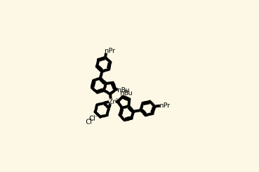 CCCCC1=Cc2c(-c3ccc(CCC)cc3)cccc2[CH]1[Zr+2]1([CH]2C(CCCC)=Cc3c(-c4ccc(CCC)cc4)cccc32)[CH]2CCCC[CH]21.[Cl-].[Cl-]